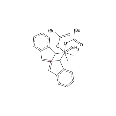 CC(C)(C)C(=O)[O][Ti]([CH3])([CH3])(=[SiH2])([O]C(=O)C(C)(C)C)([CH]1C=Cc2ccccc21)[CH]1C=Cc2ccccc21